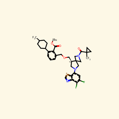 CC(C)(C)OC(=O)c1c(COC[C@@H]2CN(c3cc(F)c(F)c4ncsc34)CC23CN(C(=O)C2(C(F)(F)F)CC2)C3)cccc1C1CCC(C(F)(F)F)CC1